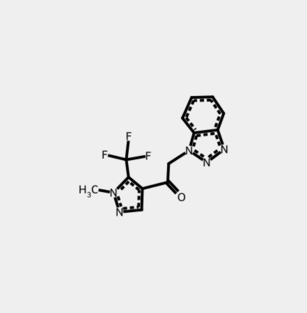 Cn1ncc(C(=O)Cn2nnc3ccccc32)c1C(F)(F)F